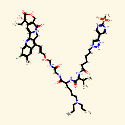 CCCN(CCC)CCCCC(NC(=O)C(NC(=O)CCCCCn1cc(-c2cnc(S(C)(=O)=O)nc2)nn1)C(C)C)C(=O)NCC(=O)NCOC/C=C/c1c2c(nc3cc(F)c(C)cc13)-c1cc3c(c(=O)n1C2)COC(=O)[C@]3(O)CC